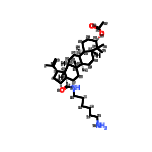 C=C(C)[C@@H]1CC[C@]2(C(=O)NCCCCCCN)CC[C@]3(C)[C@H](CCC4[C@@]5(C)CC[C@H](OC(C)=O)C(C)(C)[C@@H]5CC[C@]43C)[C@@H]12